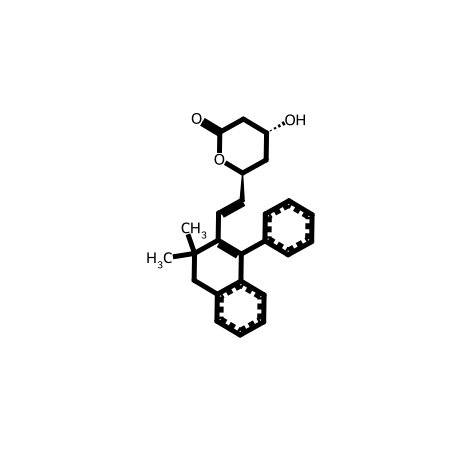 CC1(C)Cc2ccccc2C(c2ccccc2)=C1/C=C/[C@@H]1C[C@@H](O)CC(=O)O1